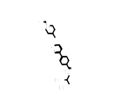 O=C(NCC(O)CO)C1CC=C(c2ccc(OCC3CCN(C(=O)O)CC3)nc2)CC1